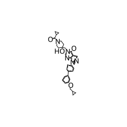 O=C(C1CC1)N1CCC(O)(Cn2cnc3c(cnn3-c3ccc(-c4cccc(OCC5CC5)c4)cc3)c2=O)CC1